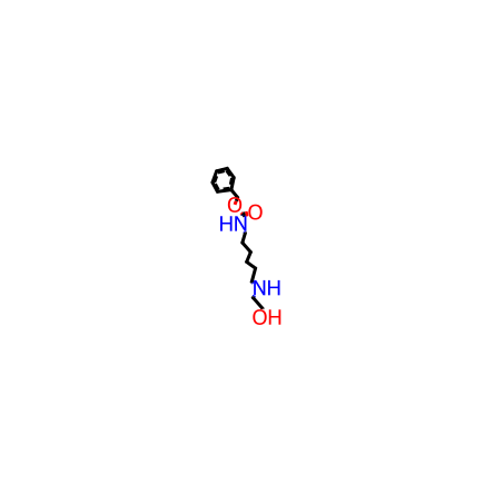 O=C(NCCCCCCNCCO)OCc1ccccc1